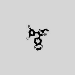 CCc1nc(-c2cc(F)cc(Cl)c2)c(-c2ccc3nccnc3c2)[nH]1